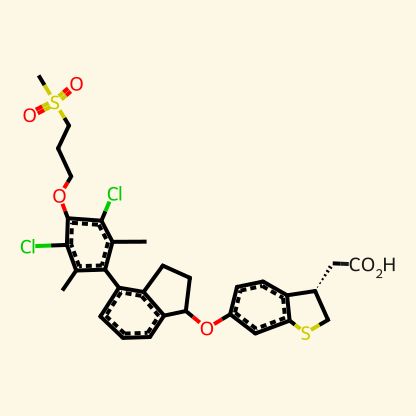 Cc1c(Cl)c(OCCCS(C)(=O)=O)c(Cl)c(C)c1-c1cccc2c1CCC2Oc1ccc2c(c1)SC[C@H]2CC(=O)O